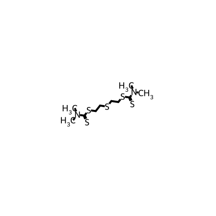 CN(C)C(=S)SCCSCCSC(=S)N(C)C